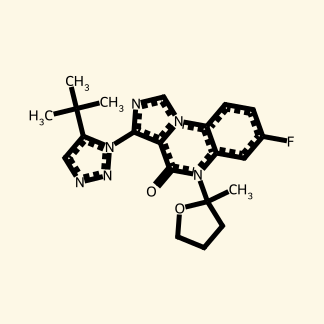 CC(C)(C)c1cnnn1-c1ncn2c1c(=O)n(C1(C)CCCO1)c1cc(F)ccc12